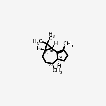 CC1=C2[C@@H](CC1)[C@@H](C)CC[C@H]1[C@@H]2C1(C)C